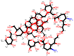 CC1C(O)[C@H](O[C@@H]2OC(CO[C@]3(C(=O)O)C[C@@H](O)C(N)C(C(O)[C@H](O)CO)O3)[C@H](O)C(O)[C@@H]2O)[C@H](CO)O[C@H]1O[C@@H]1C(O)[C@H](O)C(CO)O[C@@H]1OCC1O[C@@H](O[C@@H]2C(CO)O[C@@H](O[C@@H]3C(CO)O[C@@H](C)[C@@H](C)C3O)[C@@H](C)C2O)C(O)C(OC2O[C@H](CO)[C@@H](O)C(O)C2O[C@@H]2OC(CO)[C@@H](O[C@@H]3OC(CO[C@]4(C(=O)O)C[C@@H](O)[C@@H](N)C(C(O)[C@H](O)CO)O4)[C@H](O)C(O)[C@@H]3O)C(O)[C@@H]2C)[C@@H]1O